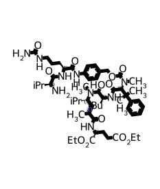 CCOC(=O)CC[C@@H](NC(=O)/C(C)=C/[C@H](C(C)C)N(C)C(O)[C@@H](NC(=O)[C@@H](N(C)C(=O)OCc1ccc(NC(=O)[C@H](CCCNC(N)=O)NC(=O)[C@@H](N)C(C)C)cc1)C(C)(C)c1ccccc1)C(C)(C)C)C(=O)OCC